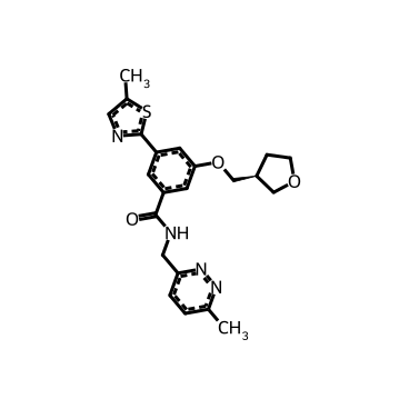 Cc1ccc(CNC(=O)c2cc(OC[C@H]3CCOC3)cc(-c3ncc(C)s3)c2)nn1